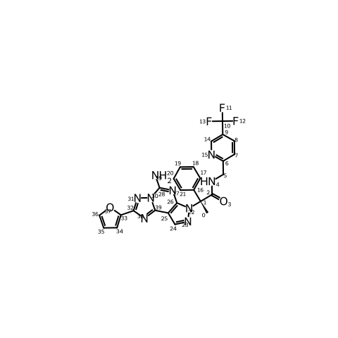 C[C@](C(=O)NCc1ccc(C(F)(F)F)cn1)(c1ccccc1)n1ncc2c1nc(N)n1nc(-c3ccco3)nc21